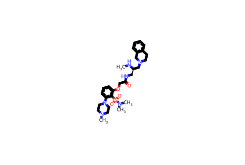 CN[C@H](CNC(=O)COc1cccc(N2CCN(C)CC2)c1S(=O)(=O)N(C)C)CN1CCc2ccccc2C1